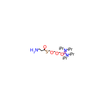 CC(C)N(C(C)C)P(OCOCOCSC(=O)CCN)N(C(C)C)C(C)C